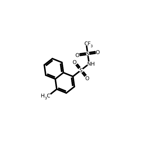 Cc1ccc(S(=O)(=O)NS(=O)(=O)C(F)(F)F)c2ccccc12